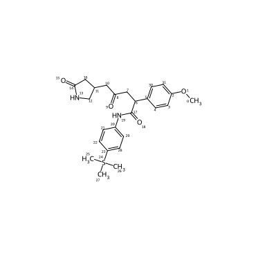 COc1ccc(C(CC(=O)CC2CNC(=O)C2)C(=O)Nc2ccc(S(C)(C)C)cc2)cc1